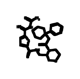 N=C(NC(=O)C(F)(F)F)c1ccc(C(=O)NCC2COCCN2C(=O)CC2(c3ccccc3)CCCCC2)s1